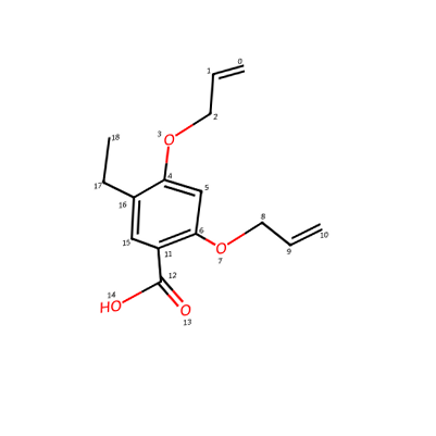 C=CCOc1cc(OCC=C)c(C(=O)O)cc1CC